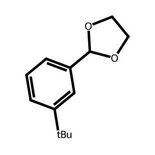 CC(C)(C)c1cccc(C2OCCO2)c1